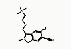 CN1Cc2cc(C#N)c(Cl)cc2N1COCC[Si](C)(C)C